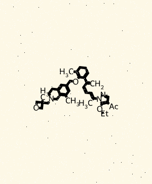 C=C(/C=C\C=C(/C)n1ncc(C(C)=O)c1OCC)C1=CCCC(C)=C1OCc1cc(C)c2c(c1)CCN(CC1(C)COC1)C2